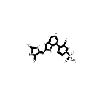 NS(=O)(=O)c1ccc(-c2cncc3cc(/C=C4\SC(=O)NC4=O)oc23)c(Cl)c1